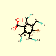 O=C(O)c1c(CF)c(CF)c(Br)c(CF)c1CF